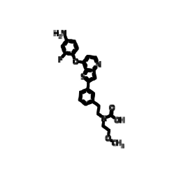 COCCN(CCc1cccc(-c2cc3nccc(Oc4ccc(N)cc4F)c3s2)c1)C(=O)O